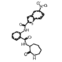 O=C(Nc1ccccc1C(=O)NC1CCCCNC1=O)c1cc2cc([N+](=O)[O-])ccc2s1